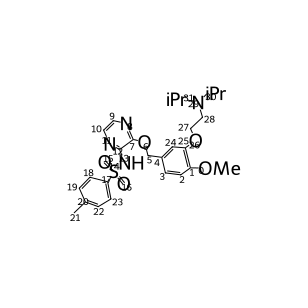 COc1ccc(COc2nccnc2NS(=O)(=O)c2ccc(C)cc2)cc1OCCN(C(C)C)C(C)C